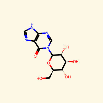 O=c1c2nc[nH]c2n[c]n1C1O[C@H](CO)[C@@H](O)[C@H](O)[C@H]1O